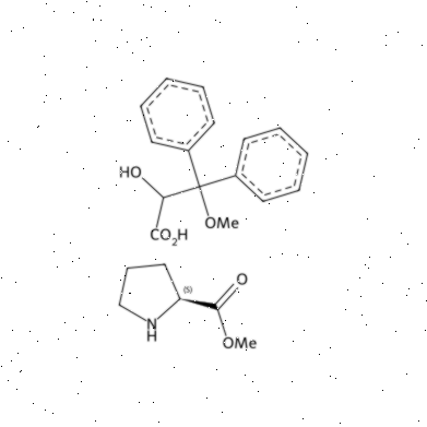 COC(=O)[C@@H]1CCCN1.COC(c1ccccc1)(c1ccccc1)C(O)C(=O)O